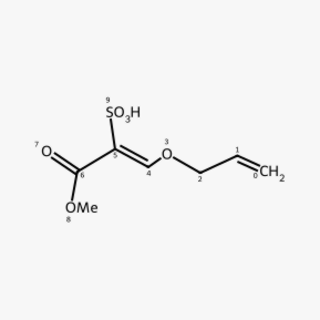 C=CCOC=C(C(=O)OC)S(=O)(=O)O